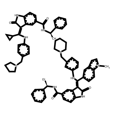 CC[C@@H](NC(=O)c1ccc2c(c1)C(=C(Nc1cccc(CN3CCCCC3)c1)c1ccc3c(ccn3C)c1)C(=O)N2)c1ccccc1.C[C@@H](NC(=O)c1ccc2c(c1)C(=C(Nc1ccc(CN3CCCC3)cc1)C1CC1)C(=O)N2)c1ccccc1